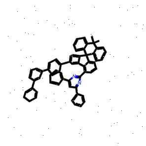 CC1(C)c2ccccc2C2(c3ccc(C4=CC=C(c5cccc(C6=CCCC=C6)c5)CC4)cc3-c3c(-c4nc(-c5ccccc5)cc(-c5ccccc5)n4)cccc32)c2ccccc21